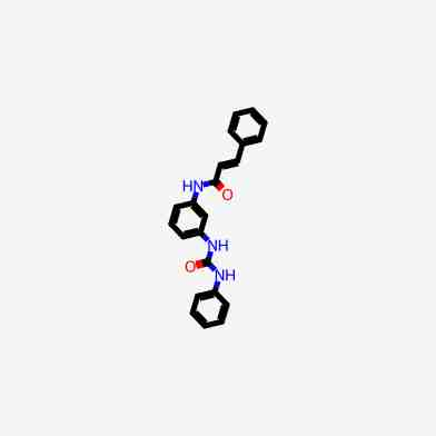 O=C(/C=C/c1ccccc1)Nc1cccc(NC(=O)Nc2ccccc2)c1